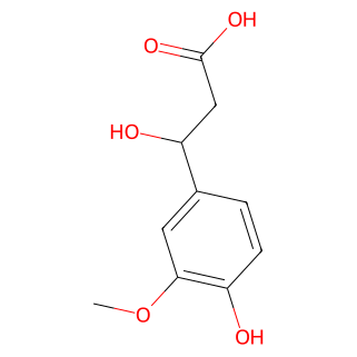 COc1cc(C(O)CC(=O)O)ccc1O